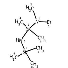 CCN(C)[Si](C)(C)N[Si](C)(C)C